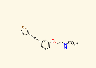 O=C(O)NCCOc1cccc(C#Cc2ccsc2)c1